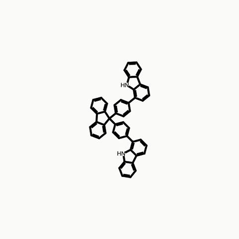 c1ccc2c(c1)-c1ccccc1C2(c1ccc(-c2cccc3c2[nH]c2ccccc23)cc1)c1ccc(-c2cccc3c2[nH]c2ccccc23)cc1